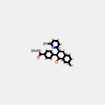 CNC(=O)c1ccc(C2C(=O)c3cc(C)ccc3CC2c2cccc(C(C)C)n2)cc1